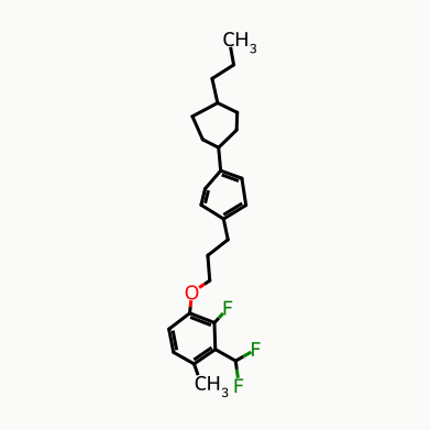 CCCC1CCC(c2ccc(CCCOc3ccc(C)c(C(F)F)c3F)cc2)CC1